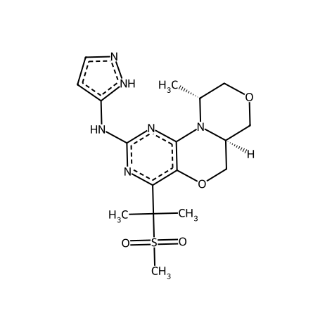 C[C@@H]1COC[C@H]2COc3c(nc(Nc4ccn[nH]4)nc3C(C)(C)S(C)(=O)=O)N21